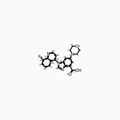 O=C(O)c1cc(N2CCOCC2)cc2c1ncn2-c1ccnc2c(F)cccc12